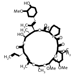 C=CC[C@H]1/C=C(\C)C[C@@H](C)C[C@@H](OC)[C@@H]2O[C@](O)(C(=O)C(=O)N3CCCC[C@@H]3C(=O)O[C@H](/C(C)=C/[C@H]3CCC(O)C(OC)C3)[C@@H](C)[C@H](O)CC1=O)[C@@H](C)C[C@H]2OC